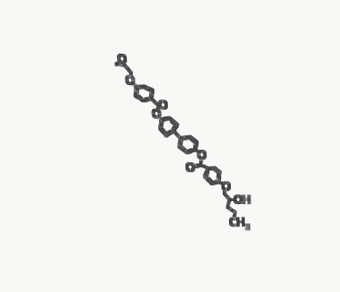 CCCC(O)COc1ccc(C(=O)Oc2ccc(-c3ccc(OC(=O)c4ccc(OCC5CO5)cc4)cc3)cc2)cc1